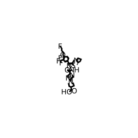 C[C@@H]1CCCN1Cc1sc(NC(=O)c2cnc(N3CCC(C(=O)O)CC3)cn2)nc1-c1ccc(OCCCF)c(C(F)(F)F)c1